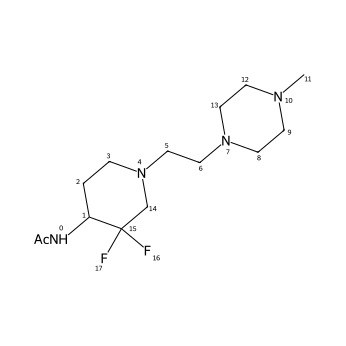 CC(=O)NC1CCN(CCN2CCN(C)CC2)CC1(F)F